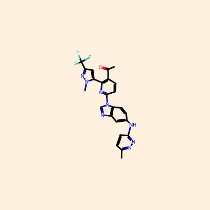 CC(=O)c1ccc(-n2cnc3cc(Nc4ccc(C)nn4)ccc32)nc1-c1cc(C(F)(F)F)nn1C